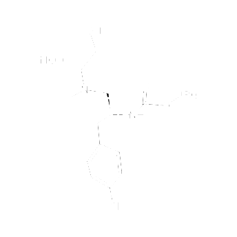 CN(C[C@H](Cc1ccc(Cl)cc1)NC(=O)OC(C)(C)C)[C@@H](CO)C(=O)O